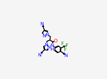 N#Cc1cnn(CC(Cn2cc(C#N)cn2)C(=O)Nc2ccc(C#N)c(C(F)(F)F)c2)c1